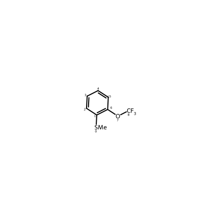 CSc1ccc[c]c1OC(F)(F)F